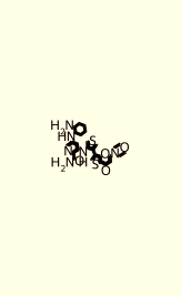 NC(=O)c1ncc(N[C@H]2CCCC[C@H]2N)cc1Nc1cscc1-c1csc2c(=O)cc(N3CCOCC3)oc12